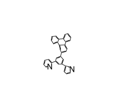 c1ccc(-c2cc(-c3cccnc3)cc(-c3ccc4c5ccccc5c5ccccc5c4c3)c2)nc1